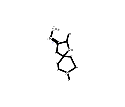 CO/N=C1/CC2(CCN(C)CC2)OC1C